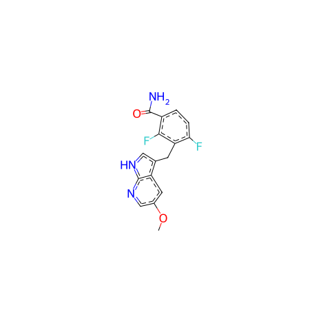 COc1cnc2[nH]cc(Cc3c(F)ccc(C(N)=O)c3F)c2c1